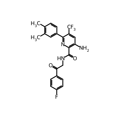 Cc1ccc(-c2nc(C(=O)NCC(=O)c3ccc(F)cc3)c(N)cc2C(F)(F)F)cc1C